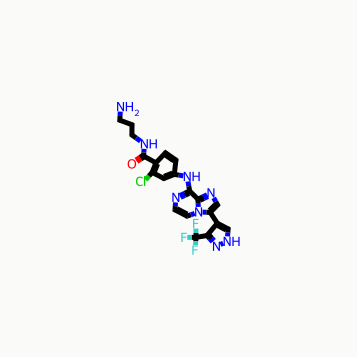 NCCCNC(=O)c1ccc(Nc2nccn3c(-c4c[nH]nc4C(F)(F)F)cnc23)cc1Cl